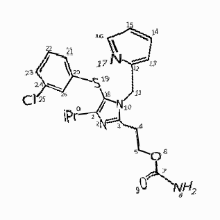 CC(C)c1nc(CCOC(N)=O)n(Cc2ccccn2)c1Sc1cccc(Cl)c1